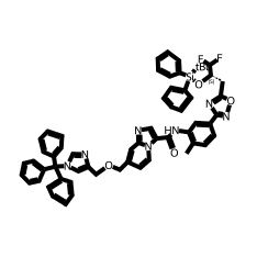 Cc1ccc(-c2noc(C[C@H](O[Si](c3ccccc3)(c3ccccc3)C(C)(C)C)C(F)F)n2)cc1NC(=O)c1cnc2cc(COCc3cn(C(c4ccccc4)(c4ccccc4)c4ccccc4)cn3)ccn12